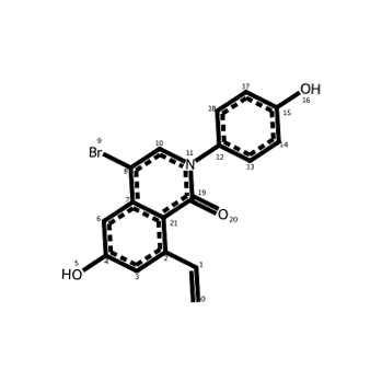 C=Cc1cc(O)cc2c(Br)cn(-c3ccc(O)cc3)c(=O)c12